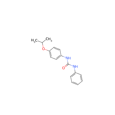 CC(C)Oc1ccc(NC(=O)Nc2ccccc2)cc1